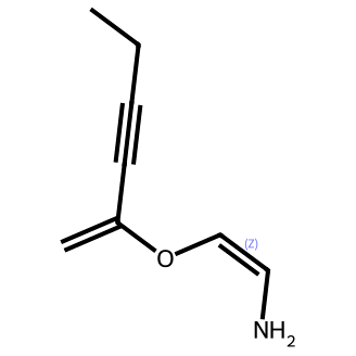 C=C(C#CCC)O/C=C\N